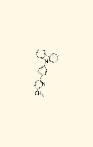 Cc1ccc(-c2ccc(-n3c4ccccc4c4ccccc43)cc2)nc1